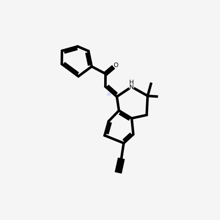 C#Cc1ccc2c(c1)CC(C)(C)N/C2=C\C(=O)c1ccccc1